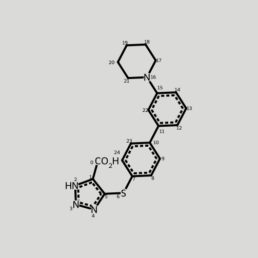 O=C(O)c1[nH]nnc1Sc1ccc(-c2cccc(N3CCCCC3)c2)cc1